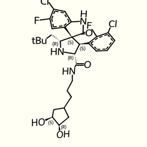 CC(C)(C)C[C@H]1N[C@@H](C(=O)NCCCC2C[C@@H](O)[C@@H](O)C2)[C@H](c2cccc(Cl)c2F)[C@@]12C(=O)Nc1cc(Cl)c(F)cc12